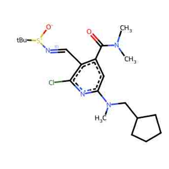 CN(C)C(=O)c1cc(N(C)CC2CCCC2)nc(Cl)c1/C=N/[S+]([O-])C(C)(C)C